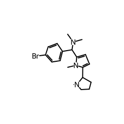 CN(C)C(c1ccc(Br)cc1)c1ccc(C2CCC[N]2)n1C